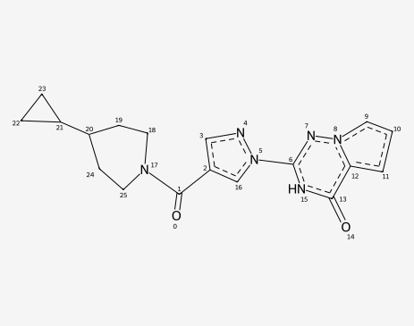 O=C(c1cnn(-c2nn3cccc3c(=O)[nH]2)c1)N1CCC(C2CC2)CC1